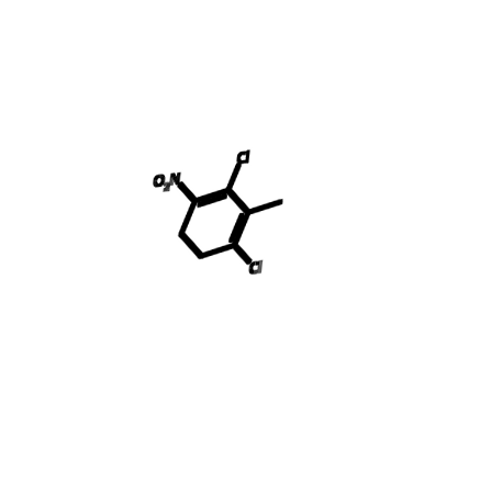 CC1=C(Cl)CCC([N+](=O)[O-])=C1Cl